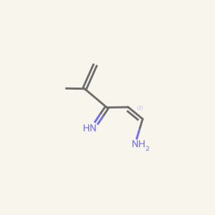 C=C(C)C(=N)/C=C\N